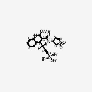 COc1nc2ccccc2c(C(F)(F)C#C[Si](C(C)C)(C(C)C)C(C)C)c1C(=O)N[C@@H]1C=CS(=O)(=O)C1